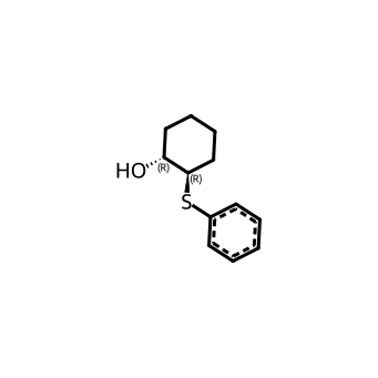 O[C@@H]1CCCC[C@H]1Sc1ccccc1